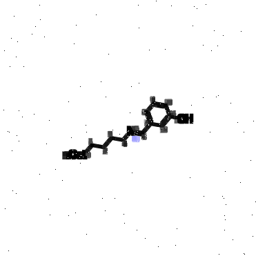 CCCCCCCCCCCC/N=C/c1cccc(O)c1